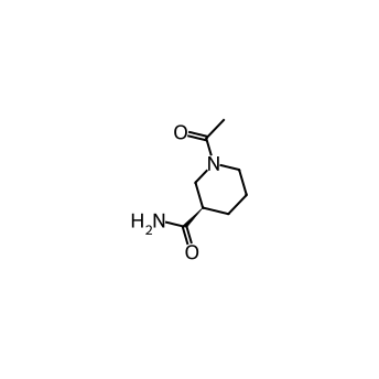 CC(=O)N1CCC[C@@H](C(N)=O)C1